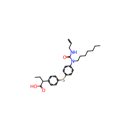 C=CCNC(=O)N(CCCCCCC)c1ccc(Sc2ccc(C(CC)C(=O)O)cc2)cc1